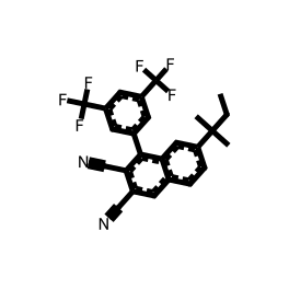 CCC(C)(C)c1ccc2cc(C#N)c(C#N)c(-c3cc(C(F)(F)F)cc(C(F)(F)F)c3)c2c1